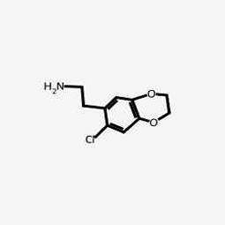 NCCc1cc2c(cc1Cl)OCCO2